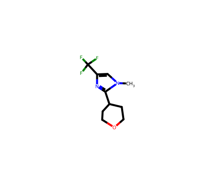 Cn1cc(C(F)(F)F)nc1C1CCOCC1